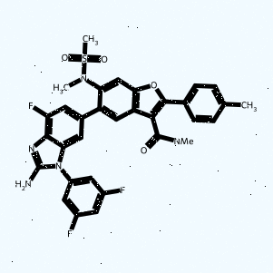 CNC(=O)c1c(-c2ccc(C)cc2)oc2cc(N(C)S(C)(=O)=O)c(-c3cc(F)c4nc(N)n(-c5cc(F)cc(F)c5)c4c3)cc12